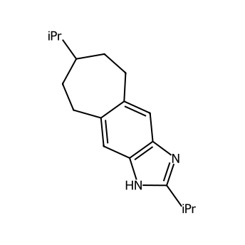 CC(C)c1nc2cc3c(cc2[nH]1)CCC(C(C)C)CC3